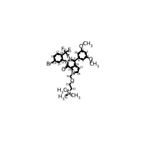 COc1cc(OC)cc(-c2nn(-c3cc(Br)ccc3C(F)(F)F)c(=O)c3c2ccn3COCC[Si](C)(C)C)c1